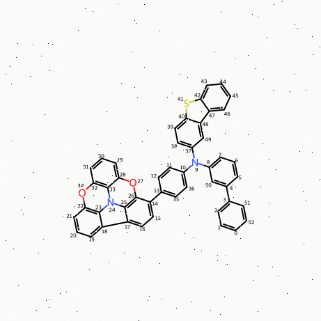 c1ccc(-c2cccc(N(c3ccc(-c4ccc5c6cccc7c6n6c5c4Oc4cccc(c4-6)O7)cc3)c3ccc4sc5ccccc5c4c3)c2)cc1